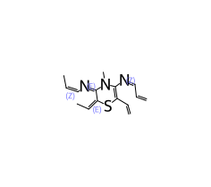 C=C/C=N\C1=C(C=C)SC(=C/C)/C(=N\C=C/C)N1C